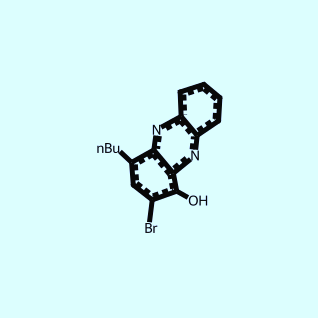 CCCCc1cc(Br)c(O)c2nc3ccccc3nc12